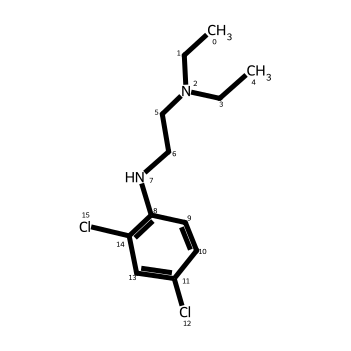 CCN(CC)CCNc1ccc(Cl)cc1Cl